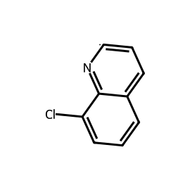 Clc1cccc2cc[c]nc12